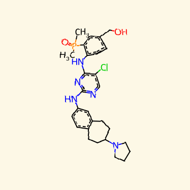 CP(C)(=O)c1cc(CO)ccc1Nc1nc(Nc2ccc3c(c2)CCC(N2CCCC2)CC3)ncc1Cl